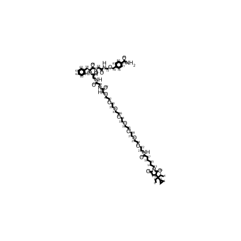 CCC(CC)(C1CC1)C1CC(=O)N(CCCCCC(=O)NCCOCCOCCOCCOCCOCCOCCOCCOCC(=O)NCC(=O)NCC(=O)N[C@@H](Cc2ccccc2)C(=O)NCC(=O)NCOCc2ccc(C(N)=O)cc2)C1=O